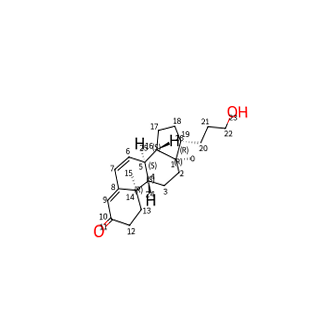 C[C@]12CC[C@H]3[C@@H](C=CC4=CC(=O)CC[C@@]43C)[C@@H]1CC[C@@H]2CCCO